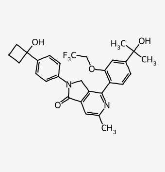 Cc1cc2c(c(-c3ccc(C(C)(C)O)cc3OCC(F)(F)F)n1)CN(c1ccc(C3(O)CCC3)cc1)C2=O